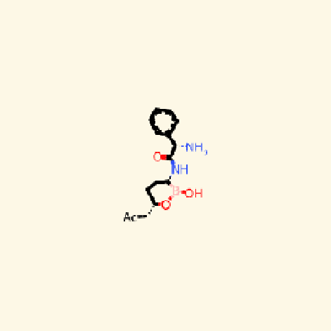 CC(=O)C[C@@H]1CC[C@H](NC(=O)[C@@H](N)c2ccccc2)B(O)O1